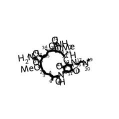 CO[C@@H]1/C=C\C=C(/C)C(=O)NC2=CC(=O)C(NCCN(C)C)=C(C[C@H](C)C[C@@H](OC)[C@@H](OC(N)=O)[C@H](C)/C=C(\C)[C@H]1OC(N)=O)C2=O